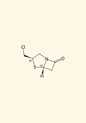 O=C1C[C@@H]2S[C@@H](CCl)CN12